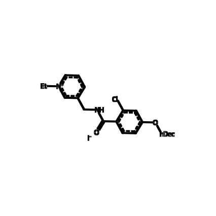 CCCCCCCCCCOc1ccc(C(=O)NCc2ccc[n+](CC)c2)c(Cl)c1.[I-]